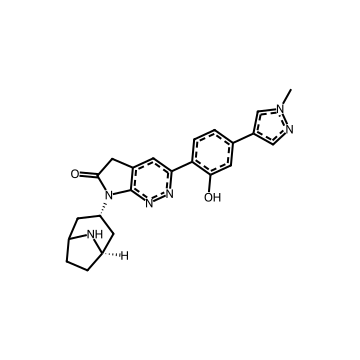 Cn1cc(-c2ccc(-c3cc4c(nn3)N([C@H]3CC5CC[C@H](C3)N5)C(=O)C4)c(O)c2)cn1